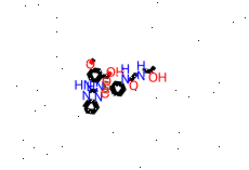 COc1cc(CO)cc(Nc2nc3ccccc3nc2NS(=O)(=O)c2cccc(NC(=O)CNCC(C)O)c2)c1